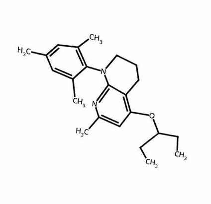 CCC(CC)Oc1cc(C)nc2c1CCCN2c1c(C)cc(C)cc1C